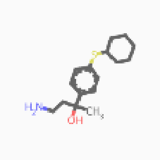 CC(O)(CCN)c1ccc(SC2CCCCC2)cc1